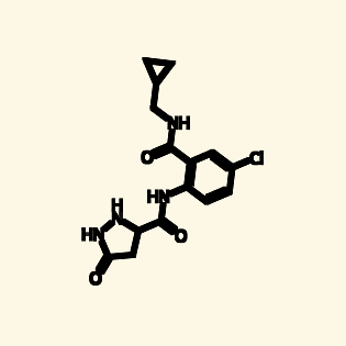 O=C1CC(C(=O)Nc2ccc(Cl)cc2C(=O)NCC2CC2)NN1